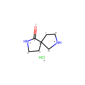 Cl.O=C1NCCC12CCNC2